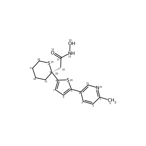 Cc1ccc(-c2ccc([C@@]3(CC(=O)NO)CCCCS3)s2)cn1